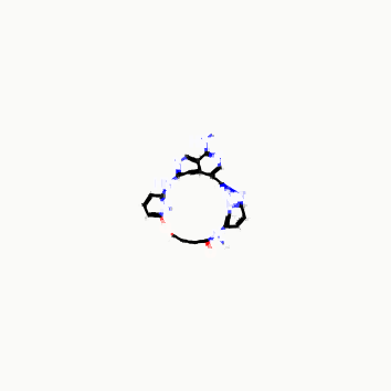 CNc1ncc2c3cc(ncc13)Nc1cccc(n1)OCCCC(=O)N(C)c1ccc3nc-2nn3c1